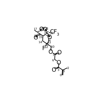 C=C(C)C(=O)OCC(=O)OCC(F)(F)CC(S(C)(=O)=O)S(=O)(=O)C(F)(F)F